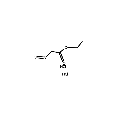 CCOC(=O)CN=S.Cl.Cl